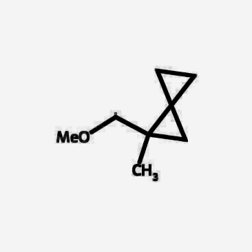 CO[CH]C1(C)CC12CC2